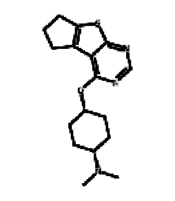 CN(C)[C@H]1CC[C@@H](Oc2ncnc3sc4c(c23)CCC4)CC1